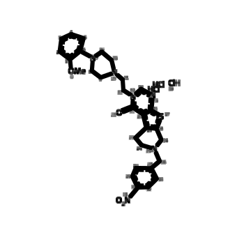 COc1ccccc1N1CCN(CCn2cnc3sc4c(c3c2=O)CCN(Cc2ccc([N+](=O)[O-])cc2)C4)CC1.Cl.Cl.Cl